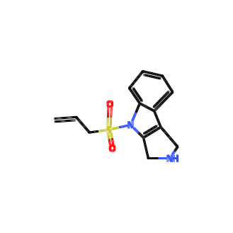 C=CCS(=O)(=O)n1c2c(c3ccccc31)CNC2